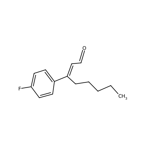 CCCCCC(=CC=O)c1ccc(F)cc1